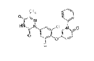 Cc1nn(-c2cc(Cl)c(Oc3ccc(=O)n(-c4ccccc4)c3)c(Cl)c2)c(=O)[nH]c1=O